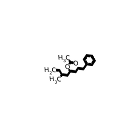 C=CC(C)=CC(=CC=Cc1ccccc1)OC(C)=O